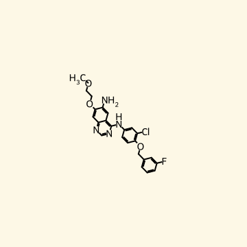 COCCOc1cc2ncnc(Nc3ccc(OCc4cccc(F)c4)c(Cl)c3)c2cc1N